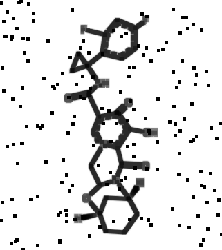 O=C(NC1(c2ccc(F)cc2F)CC1)c1cn2c(c(O)c1=O)C(=O)N1C(C2)O[C@H]2CCC[C@@H]1C2